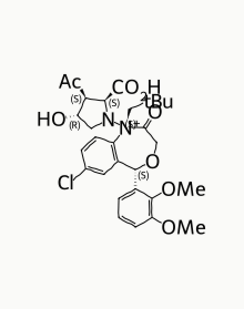 COc1cccc([C@H]2OCC(=O)[N@@+](CC(C)(C)C)(N3C[C@H](O)[C@@H](C(C)=O)[C@H]3C(=O)O)c3ccc(Cl)cc32)c1OC